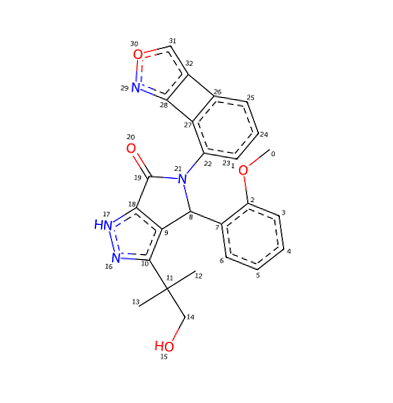 COc1ccccc1C1c2c(C(C)(C)CO)n[nH]c2C(=O)N1c1cccc2c1-c1nocc1-2